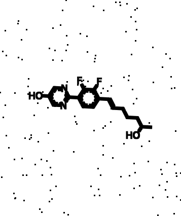 CC(O)CCC/C=C/c1ccc(-c2ncc(O)cn2)c(F)c1F